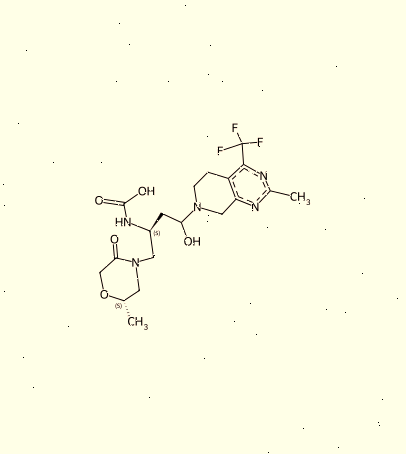 Cc1nc2c(c(C(F)(F)F)n1)CCN(C(O)C[C@@H](CN1C[C@H](C)OCC1=O)NC(=O)O)C2